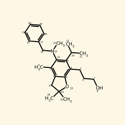 Cc1c2c(c(CCCO)c(C(C)C)c1N(C)Cc1ccccc1)OC(C)(C)C2